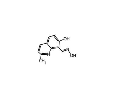 Cc1ccc2ccc(O)c(C=NO)c2n1